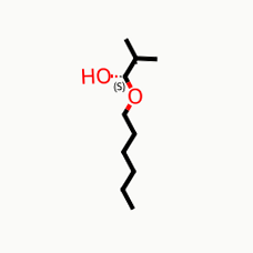 CCCCCCO[C@H](O)[C](C)C